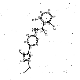 CCc1cc(-c2ccc(NC(=O)c3c(F)cccc3F)cc2)c(C)s1